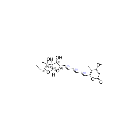 CC[C@H]1O[C@@H]2O[C@H](/C=C/C=C/C=C/c3oc(=O)cc(OC)c3C)[C@H](O)[C@]2(C)[C@@]1(C)O